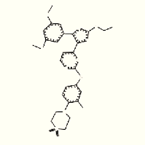 CCNc1nc(-c2cc(OC)cc(OC)c2)c(-c2ccnc(Nc3ccc(N4CCS(=O)(=O)CC4)c(F)c3)n2)s1